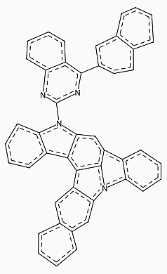 c1ccc2cc(-c3nc(-n4c5ccccc5c5c6c7cc8ccccc8cc7n7c8ccccc8c(cc54)c67)nc4ccccc34)ccc2c1